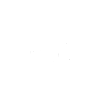 O=P(O)(F)O[O-].[Li+]